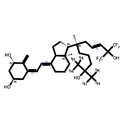 [2H]C([2H])([2H])C(O)(CCC[C@](C)(C/C=C/C(O)(C(F)(F)F)C(F)(F)F)[C@H]1CCC2/C(=C/C=C3/C[C@@H](O)C[C@H](O)C3=C)CCC[C@@]21C)C([2H])([2H])[2H]